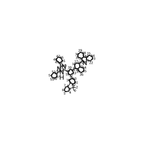 CC1(C)c2ccccc2-c2cc(-c3cc(-c4ccc(-c5nc6ccccc6c6ccccc56)c5ccccc45)cc(C4N=C(c5ccccc5)N=C(c5ccccc5)N4)c3)ccc21